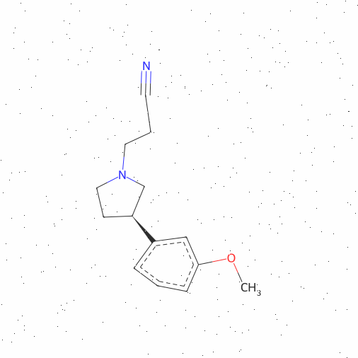 COc1cccc([C@H]2CCN(CCC#N)C2)c1